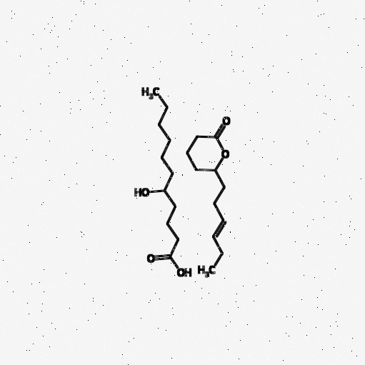 CC/C=C/CCC1CCCC(=O)O1.CCCCCCC(O)CCCC(=O)O